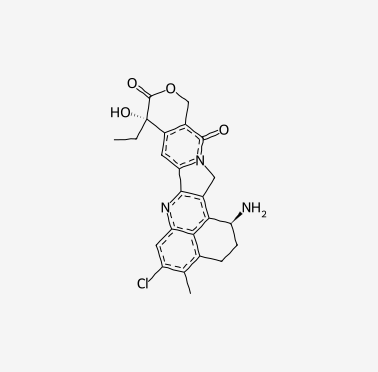 CC[C@@]1(O)C(=O)OCc2c1cc1n(c2=O)Cc2c-1nc1cc(Cl)c(C)c3c1c2[C@@H](N)CC3